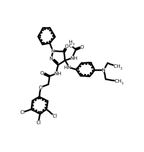 CCN(CC)c1ccc(NC2(NC(C)=O)C(=O)N(c3ccccc3)N=C2NC(=O)COc2cc(Cl)c(Cl)c(Cl)c2)cc1